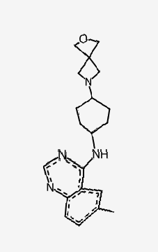 Cc1ccc2ncnc(NC3CCC(N4CC5(COC5)C4)CC3)c2c1